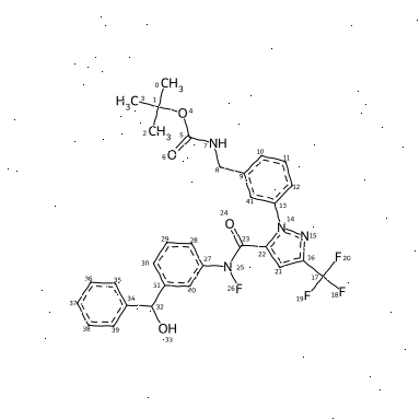 CC(C)(C)OC(=O)NCc1cccc(-n2nc(C(F)(F)F)cc2C(=O)N(F)c2cccc(C(O)c3ccccc3)c2)c1